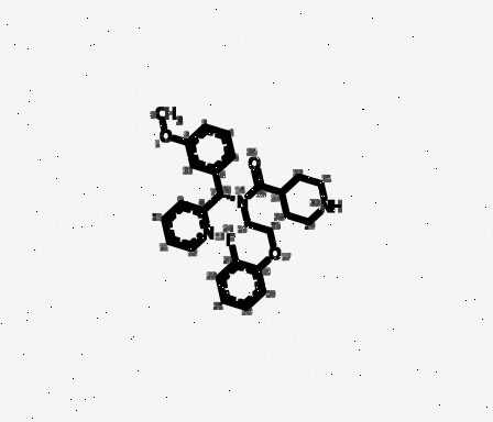 COc1cccc([C@@H](c2ccccn2)N(CCOc2ccccc2F)C(=O)C2CCNCC2)c1